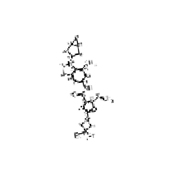 CCC1(CC)CN(c2nc(C(=O)Nc3cc(C)c4c(c3)CCN4C3CC4CC4C3)c(CC(F)(F)F)o2)C1